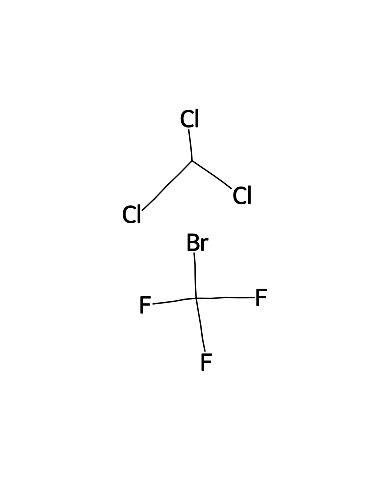 ClC(Cl)Cl.FC(F)(F)Br